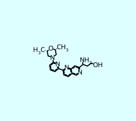 C[C@@H]1CN(c2cccc(-c3ccc4cnc(C(N)CCO)cc4n3)n2)C[C@H](C)O1